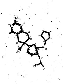 N#CC1(c2ccc(OC(F)F)c(OC3CCCC3)c2)CCc2nc(N)ncc2C1